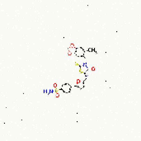 Cc1cc2c(cc1CN1C(=O)/C(=C/c3ccc(-c4ccc(S(N)(=O)=O)cc4)o3)SC1=S)OCO2